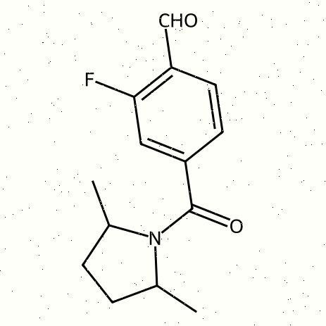 CC1CCC(C)N1C(=O)c1ccc(C=O)c(F)c1